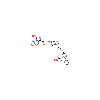 O=C(O)Nc1cc(CCCCn2cnc3cc(CNC[C@@H](O)c4ccc(O)c5[nH]c(=O)ccc45)ccc32)ccc1-c1ccccc1